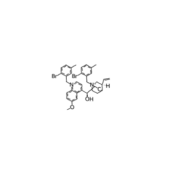 C=C[C@@H]1C[N+]2(Cc3cc(C)ccc3Br)CCC1CC2[C@@H](O)c1cc[n+](Cc2cc(C)ccc2Br)c2ccc(OC)cc12